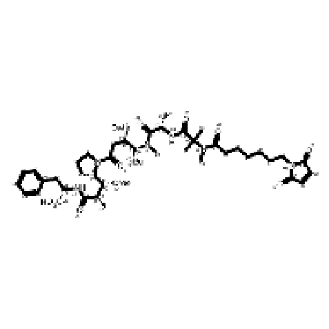 CC[C@H](C)[C@@H]([C@@H](CC(=O)N1CCC[C@H]1[C@H](OC)[C@@H](C)C(=O)N[C@@H](Cc1ccccc1)C(=O)O)OC)N(C)C(=O)[C@@H](NC(=O)C(C)(C)N(C)C(=O)CCCCCCN1C(=O)C=CC1=O)C(C)C